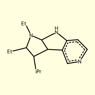 CCC1C(C(C)C)C2c3cnccc3NC2N1CC